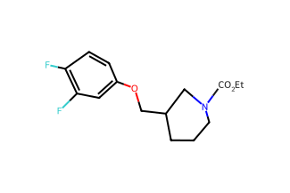 CCOC(=O)N1CCCC(COc2ccc(F)c(F)c2)C1